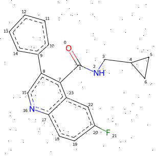 O=C(NCC1CC1)c1c(-c2ccccc2)cnc2ccc(F)cc12